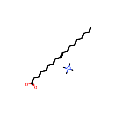 CCCCCCCCC=CCCCCCCCC(=O)[O-].C[N+](C)(C)C